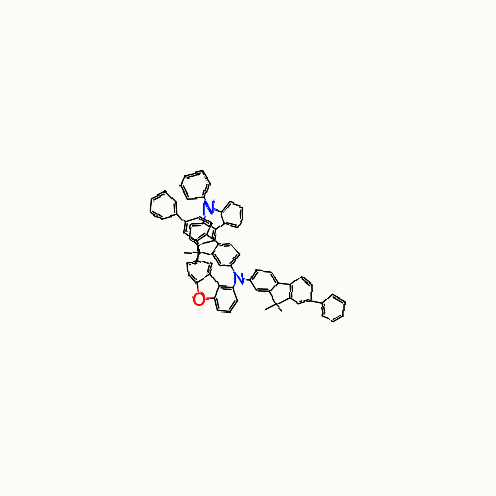 CC1(C)c2cc(-c3ccccc3)ccc2-c2ccc(N(c3ccc4c(c3)C(C)(C)c3cc(-c5ccccc5)ccc3-4)c3cccc4oc5ccc(-c6ccc7c(c6)c6ccccc6n7-c6ccccc6)cc5c34)cc21